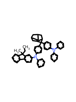 CCC1(C)c2ccccc2-c2ccc(N(c3ccccc3)c3ccc(C4(c5ccc(N(c6ccccc6)c6ccccc6)cc5)C5CC6CC(C5)CC4C6)cc3)cc21